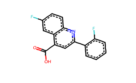 O=C(O)c1cc(-c2ccccc2F)nc2ccc(F)cc12